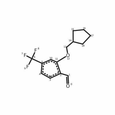 O=Cc1ccc(C(F)(F)F)cc1OCC1CCCC1